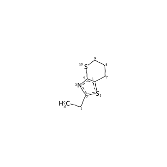 CCc1nc2c(s1)CCCS2